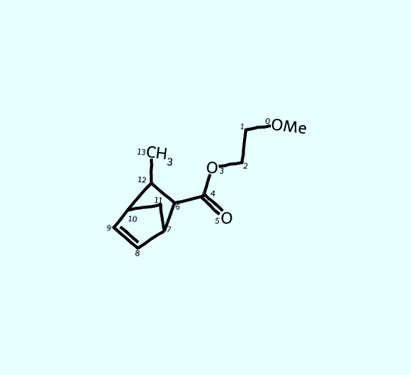 COCCOC(=O)C1C2C=CC(C2)C1C